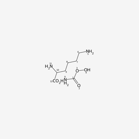 NC(=O)OO.NCCCCC(N)C(=O)O